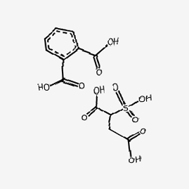 O=C(O)CC(C(=O)O)S(=O)(=O)O.O=C(O)c1ccccc1C(=O)O